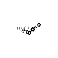 CC(C)C(=O)N1CC2CC=C(c3ccc(CCN4CCCC4)cc3)C2C1